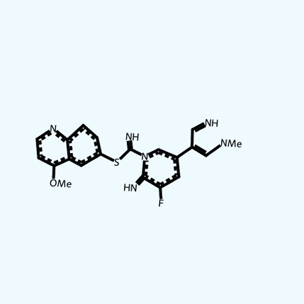 CN/C=C(\C=N)c1cc(F)c(=N)n(C(=N)Sc2ccc3nccc(OC)c3c2)c1